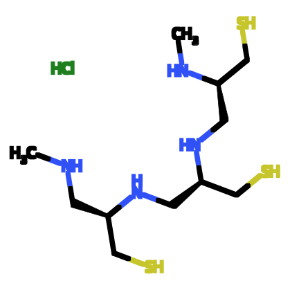 CNC[C@H](CS)NC[C@H](CS)NC[C@H](CS)NC.Cl